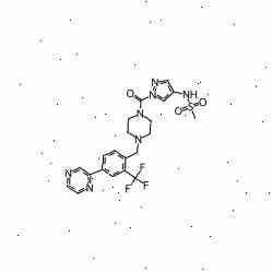 CS(=O)(=O)Nc1cnn(C(=O)N2CCN(Cc3ccc(-c4cnccn4)cc3C(F)(F)F)CC2)c1